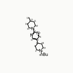 CCCCN1CCC(c2cnc(N3CCC(C)CC3)nc2)CC1